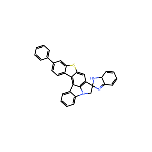 C1=CC2=NC3(Cn4c5ccccc5c5c6c(cc3c54)sc3cc(-c4ccccc4)ccc36)NC2C=C1